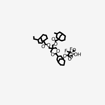 CCC1CCC2(C(=O)OCC3(COC(=O)C45CCCC(CC(C)C4)C5)COC(C4CC5CCCC(OC(=O)C(F)(F)S(=O)(=O)O)(C5)C4)OC3)CCCC1C2